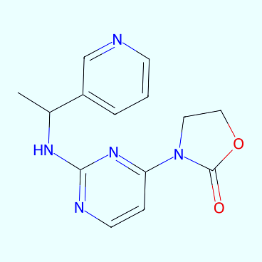 CC(Nc1nccc(N2CCOC2=O)n1)c1cccnc1